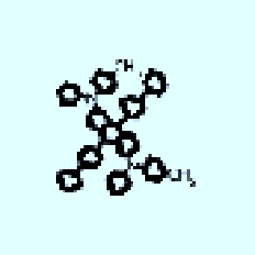 Cc1ccc(N(C2=CCCC=C2)c2ccc3c(-c4ccc(-c5ccccc5)cc4)c4cc(N(c5ccccc5)c5ccc(C)cc5)ccc4c(-c4ccc(C5=CC=CCC5)cc4)c3c2)cc1